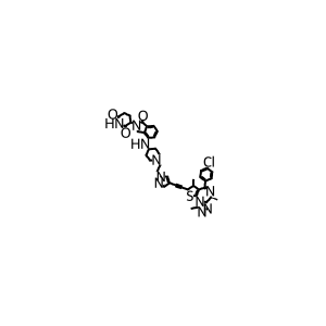 Cc1nnc2n1C1=C(C(c3ccc(Cl)cc3)=N[C@H]2C)C(C)C(C#Cc2cnn(CCN3CCC(Nc4cccc5c4CN(C4CCC(=O)NC4=O)C5=O)CC3)c2)S1